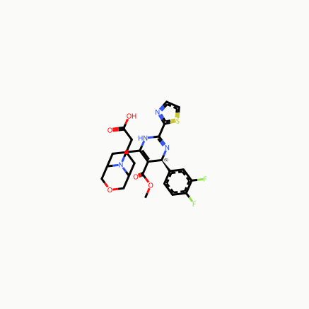 COC(=O)C1=C(CN2C3COCC2CC(CC(=O)O)C3)NC(c2nccs2)=N[C@H]1c1ccc(F)c(F)c1